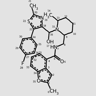 Cc1cc2c(C(=O)NCC3CCCC(C)N3C(O)c3nc(C)sc3-c3ccc(F)cc3)cccc2o1